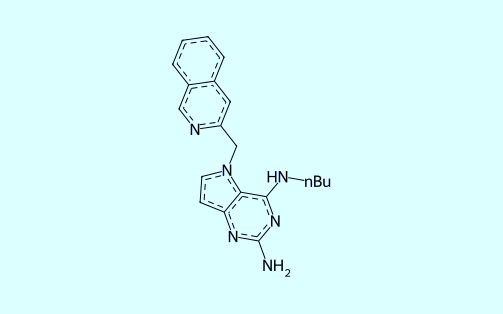 CCCCNc1nc(N)nc2ccn(Cc3cc4ccccc4cn3)c12